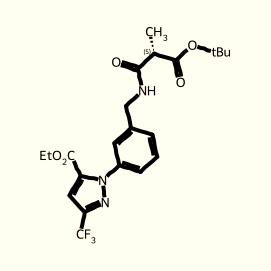 CCOC(=O)c1cc(C(F)(F)F)nn1-c1cccc(CNC(=O)[C@H](C)C(=O)OC(C)(C)C)c1